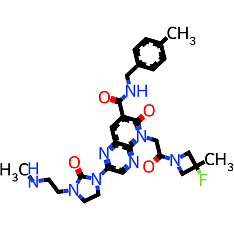 CNCCN1CCN(c2cnc3c(cc(C(=O)NCc4ccc(C)cc4)c(=O)n3CC(=O)N3CC(C)(F)C3)n2)C1=O